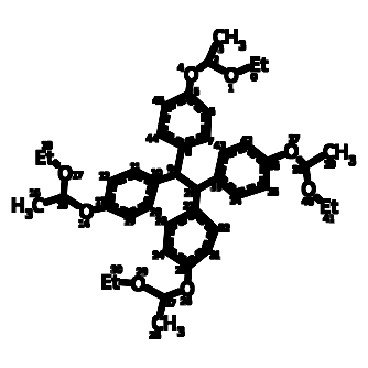 CCOC(C)Oc1ccc(C(c2ccc(OC(C)OCC)cc2)C(c2ccc(OC(C)OCC)cc2)c2ccc(OC(C)OCC)cc2)cc1